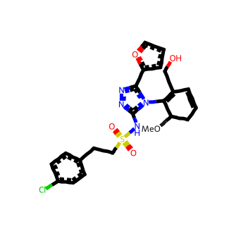 COC1CC=CC(CO)=C1n1c(NS(=O)(=O)CCc2ccc(Cl)cc2)nnc1-c1ccco1